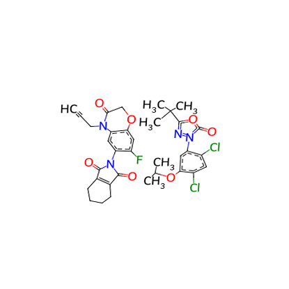 C#CCN1C(=O)COc2cc(F)c(N3C(=O)C4=C(CCCC4)C3=O)cc21.CC(C)Oc1cc(-n2nc(C(C)(C)C)oc2=O)c(Cl)cc1Cl